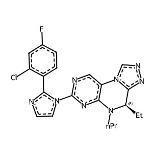 CCCN1c2nc(-n3ccnc3-c3ccc(F)cc3Cl)ncc2-n2cnnc2[C@H]1CC